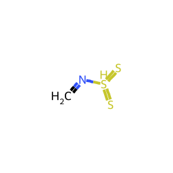 C=N[SH](=S)=S